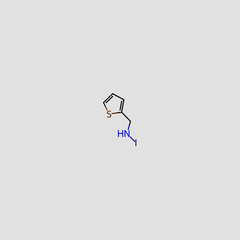 INCc1cccs1